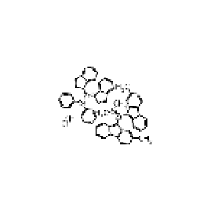 C1=C[CH]([Zr+2]([CH]2C=Cc3ccccc32)=[Si](c2ccccc2)c2ccccc2)c2ccccc21.Cc1ccc2c(c1)[C]([Zr]([C]1=C3C=CC=CC3c3ccc(C)cc31)=[Si](C)C)=C1C=CC=CC12.[Cl-].[Cl-]